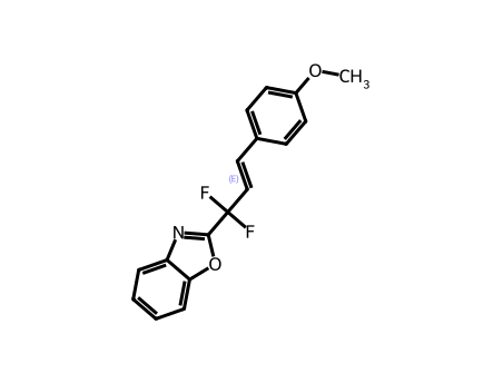 COc1ccc(/C=C/C(F)(F)c2nc3ccccc3o2)cc1